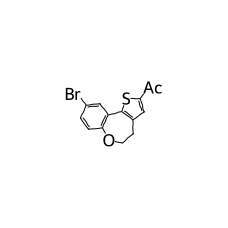 CC(=O)c1cc2c(s1)-c1cc(Br)ccc1OCC2